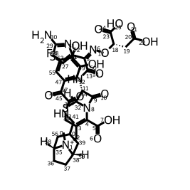 C[N+]1(CC2=C(C(=O)O)N3C(=O)[C@@H](NC(=O)/C(=N\O[C@@H](CC(=O)O)C(=O)O)c4csc(N)n4)[C@H]3SC2)[C@@H]2CC[C@H]1CC(CNC(=O)C(=O)c1cc(O)c(O)c(F)c1)C2